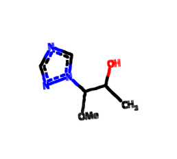 COC(C(C)O)n1cncn1